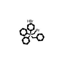 Br.CC(C)CP(Cc1ccccc1)(c1ccccc1)(c1ccccc1)c1ccccc1